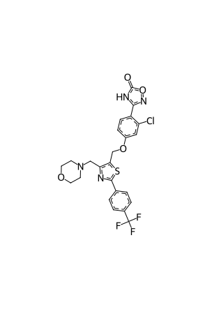 O=c1[nH]c(-c2ccc(OCc3sc(-c4ccc(C(F)(F)F)cc4)nc3CN3CCOCC3)cc2Cl)no1